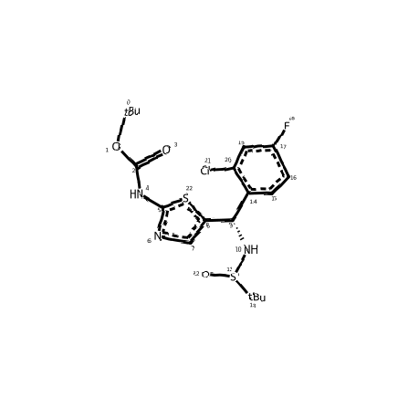 CC(C)(C)OC(=O)Nc1ncc([C@@H](N[S+]([O-])C(C)(C)C)c2ccc(F)cc2Cl)s1